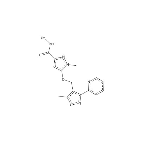 Cc1onc(-c2ccccn2)c1COc1cc(C(=O)NC(C)C)nn1C